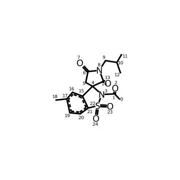 CC(=O)N1C2(CC(=O)N(CC(C)C)C2=O)c2cc(C)ccc2S1(=O)=O